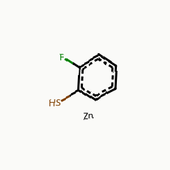 Fc1ccccc1S.[Zn]